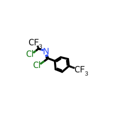 FC(F)(F)c1ccc(C(Cl)=NC(Cl)C(F)(F)F)cc1